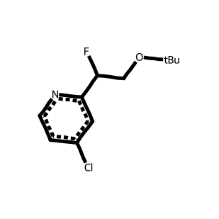 CC(C)(C)OCC(F)c1cc(Cl)ccn1